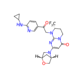 O=C(CN1c2nc(N3C[C@@H]4C[C@H]3CO4)cc(=O)n2CC[C@H]1C(F)(F)F)c1ccc(NC2CC2)nc1